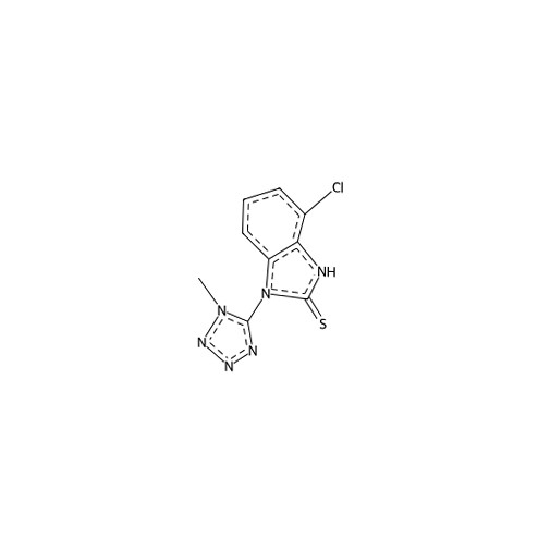 Cn1nnnc1-n1c(=S)[nH]c2c(Cl)cccc21